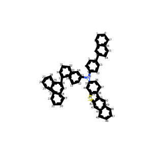 c1ccc2cc(-c3ccc(N(c4ccc5c(-c6cc7ccccc7c7ccccc67)cccc5c4)c4ccc5c(c4)sc4cc6ccccc6cc45)cc3)ccc2c1